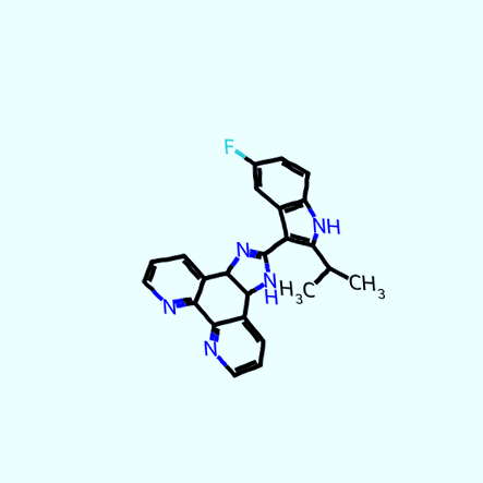 CC(C)c1[nH]c2ccc(F)cc2c1C1=NC2c3cccnc3-c3ncccc3C2N1